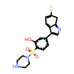 O=S(=O)(c1ccc(C2=CN=C3CC(F)=CC=C23)cc1O)N1CCNCC1